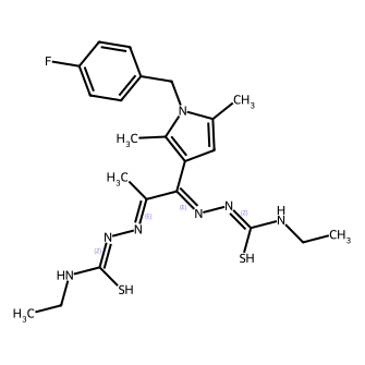 CCN/C(S)=N/N=C(C)/C(=N/N=C(\S)NCC)c1cc(C)n(Cc2ccc(F)cc2)c1C